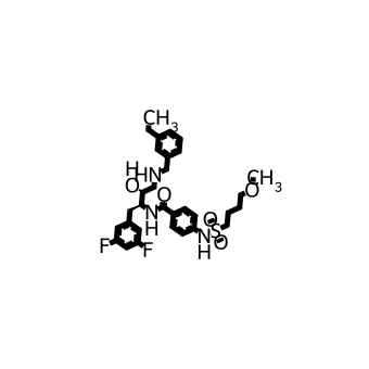 CCc1cccc(CNC[C@@H](O)[C@H](Cc2cc(F)cc(F)c2)NC(=O)c2ccc(NS(=O)(=O)CCCCOC)cc2)c1